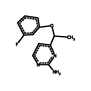 CC(Oc1cccc(F)c1)c1ccnc(N)n1